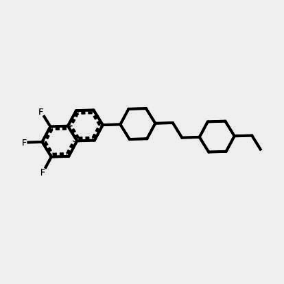 CCC1CCC(CCC2CCC(c3ccc4c(F)c(F)c(F)cc4c3)CC2)CC1